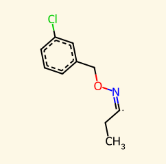 CC/[C]=N\OCc1cccc(Cl)c1